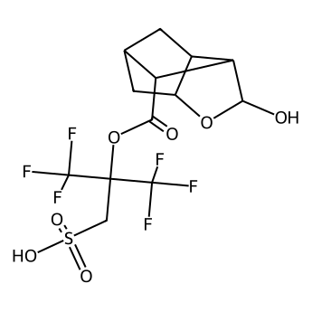 O=C(OC(CS(=O)(=O)O)(C(F)(F)F)C(F)(F)F)C1C2CC3OC(O)C1C3C2